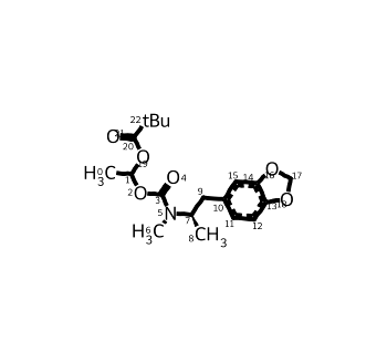 CC(OC(=O)N(C)[C@H](C)Cc1ccc2c(c1)OCO2)OC(=O)C(C)(C)C